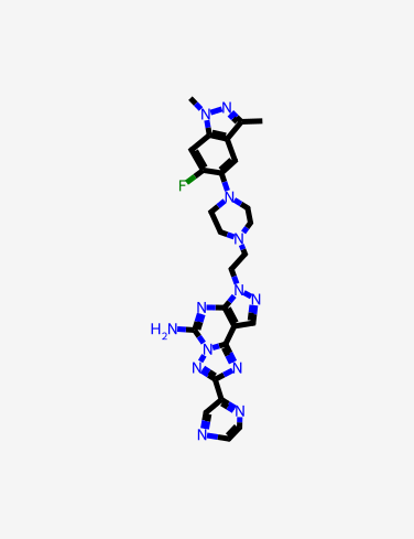 Cc1nn(C)c2cc(F)c(N3CCN(CCn4ncc5c4nc(N)n4nc(-c6cnccn6)nc54)CC3)cc12